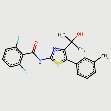 Cc1cccc(-c2sc(NC(=O)c3c(F)cccc3F)nc2C(C)(C)O)c1